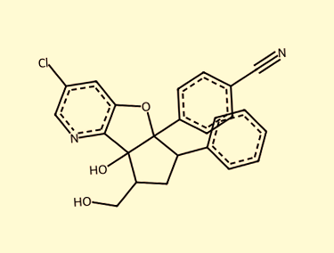 N#Cc1ccc(C23Oc4cc(Cl)cnc4C2(O)C(CO)CC3c2ccccc2)cc1